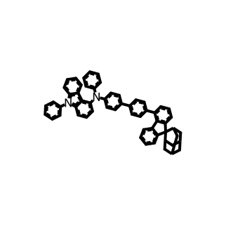 c1ccc(N(c2ccc(-c3ccc(-c4cccc5c4-c4ccccc4C54C5CC6CC(C5)CC4C6)cc3)cc2)c2cccc3c2c2ccccc2n3-c2ccccc2)cc1